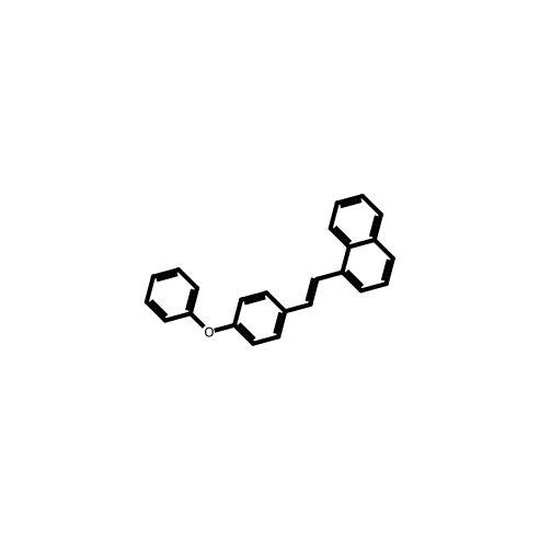 C(=C\c1cccc2ccccc12)/c1ccc(Oc2ccccc2)cc1